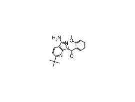 COc1ccccc1C(=O)n1nc(N)c2ccc(C(C)(C)C)nc21